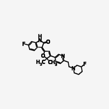 CC1(C)O/C(=C2/C(=O)Nc3cc(F)ccc32)C=C1c1ccc(CCN2CCCC(F)C2)nc1